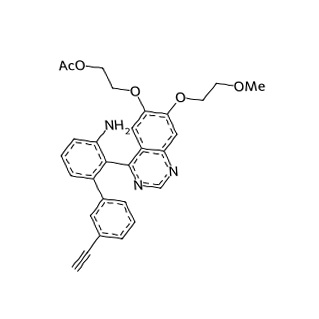 C#Cc1cccc(-c2cccc(N)c2-c2ncnc3cc(OCCOC)c(OCCOC(C)=O)cc23)c1